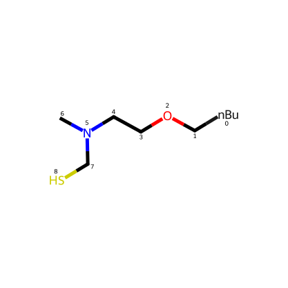 CCCCCOCCN(C)CS